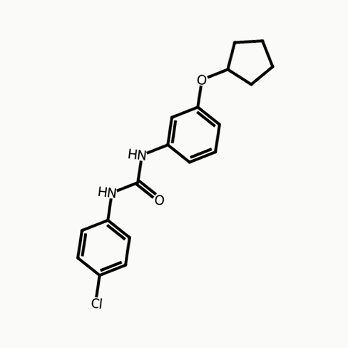 O=C(Nc1ccc(Cl)cc1)Nc1cccc(OC2CCCC2)c1